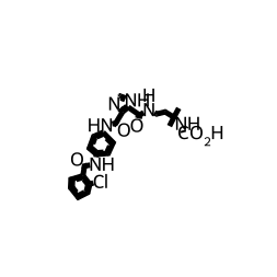 CC(C)(CCNC(=O)c1[nH]cnc1C(=O)Nc1ccc(NC(=O)c2ccccc2Cl)cc1)NC(=O)O